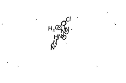 COc1ccc(Cl)cc1-c1noc(C(=O)NCCN2C=CN=CC2)n1